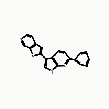 c1ccc(-c2ccc3c(-c4cc5ccncc5s4)c[nH]c3n2)cc1